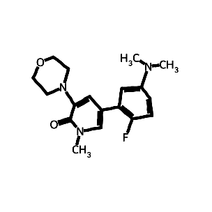 CN(C)c1ccc(F)c(-c2cc(N3CCOCC3)c(=O)n(C)c2)c1